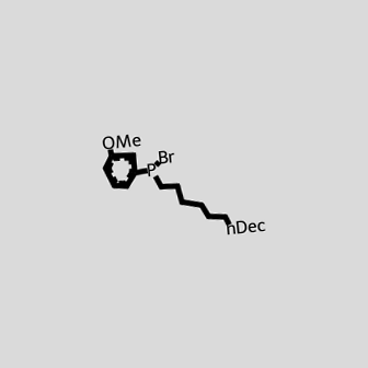 CCCCCCCCCCCCCCCCP(Br)c1cccc(OC)c1